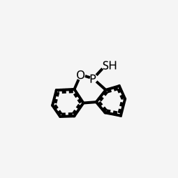 SP1Oc2ccccc2-c2ccccc21